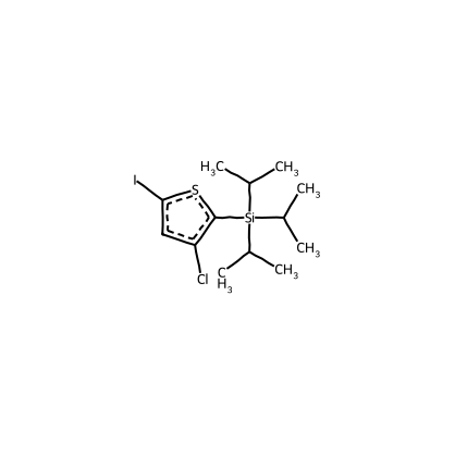 CC(C)[Si](c1sc(I)cc1Cl)(C(C)C)C(C)C